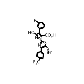 CC(C)Sc1sc(-n2nc(O)c(-c3cccc(F)c3)c2C(=O)O)nc1-c1ccc(C(F)(F)F)cc1